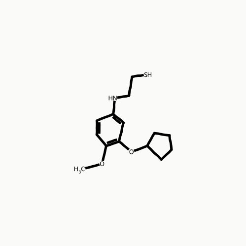 COc1ccc(NCCS)cc1OC1CCCC1